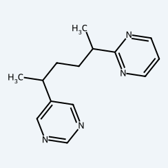 CC(CCC(C)c1ncccn1)c1cncnc1